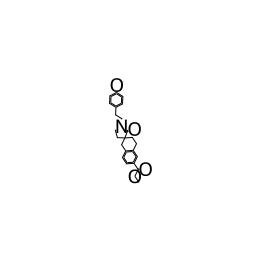 COC(=O)c1ccc2c(c1)CCC1(CCN(CCc3ccc(OC)cc3)C1=O)C2